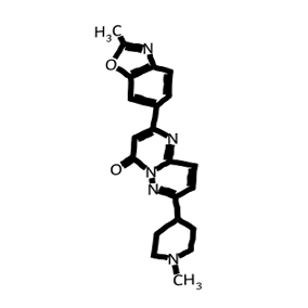 Cc1nc2ccc(-c3cc(=O)n4nc(C5CCN(C)CC5)ccc4n3)cc2o1